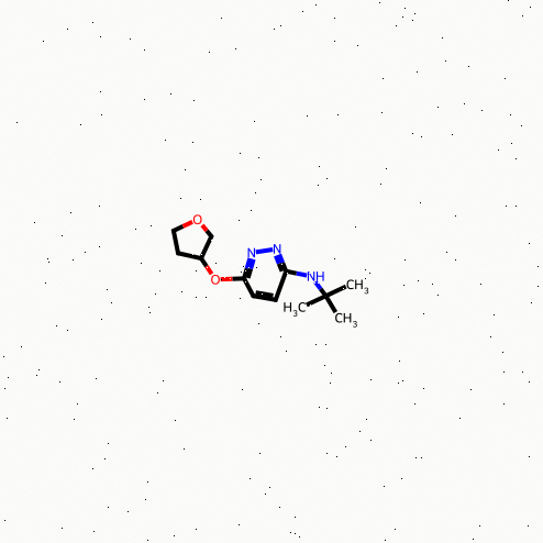 CC(C)(C)Nc1ccc(OC2CCOC2)nn1